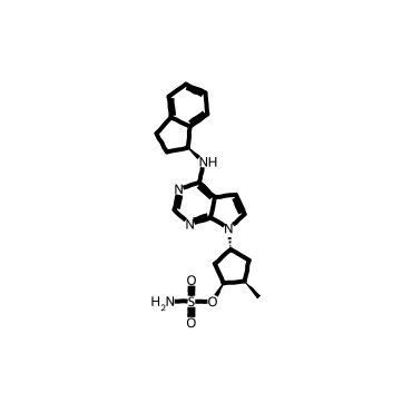 C[C@@H]1C[C@@H](n2ccc3c(N[C@H]4CCc5ccccc54)ncnc32)C[C@@H]1OS(N)(=O)=O